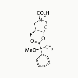 CO[C@](C(=O)O[C@H]1CCN(C(=O)O)C[C@@H]1F)(c1ccccc1)C(F)(F)F